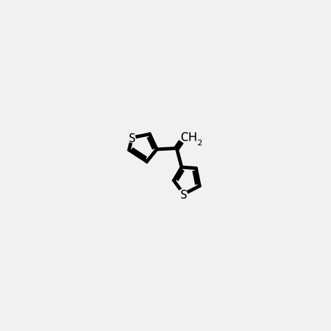 C=C(c1ccsc1)c1ccsc1